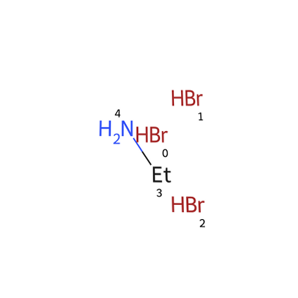 Br.Br.Br.CCN